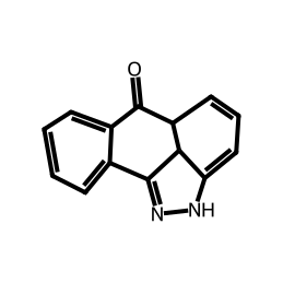 O=C1c2ccccc2C2=NNC3=CC=CC1C32